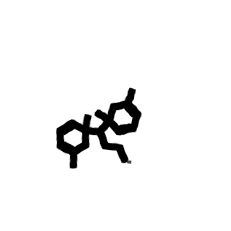 [CH2]CCC(C1(C)C=CC=C(C)C1)C1(C)C=CC=C(C)C1